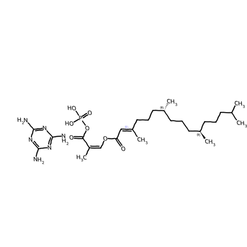 CC(=COC(=O)/C=C(\C)CCC[C@H](C)CCC[C@H](C)CCCC(C)C)C(=O)OP(=O)(O)O.Nc1nc(N)nc(N)n1